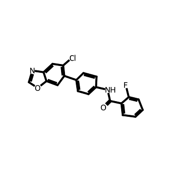 O=C(Nc1ccc(-c2cc3ocnc3cc2Cl)cc1)c1ccccc1F